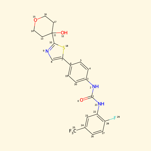 O=C(Nc1ccc(-c2cnc(C3(O)CCOCC3)s2)cc1)Nc1cc(C(F)(F)F)ccc1F